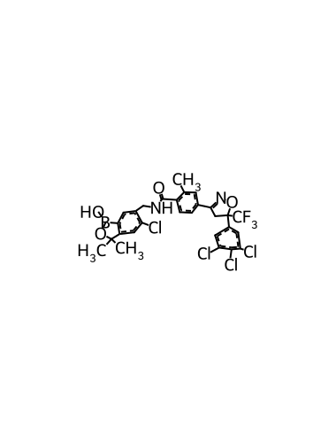 Cc1cc(C2=NOC(c3cc(Cl)c(Cl)c(Cl)c3)(C(F)(F)F)C2)ccc1C(=O)NCc1cc2c(cc1Cl)C(C)(C)OB2O